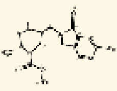 C[C@@H]1CN[C@@H](CN2Cc3ccc(F)cc3C2=O)CN1C(=O)OC(C)(C)C